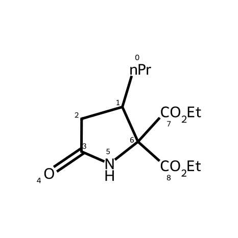 CCCC1CC(=O)NC1(C(=O)OCC)C(=O)OCC